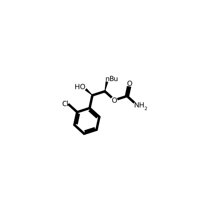 CCCC[C@@H](OC(N)=O)[C@H](O)c1ccccc1Cl